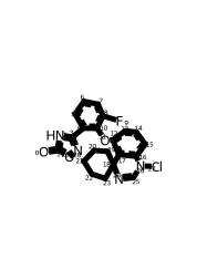 O=c1[nH]c(-c2cccc(F)c2Oc2cccc3c2C2(CCCCC2)N=CN3Cl)no1